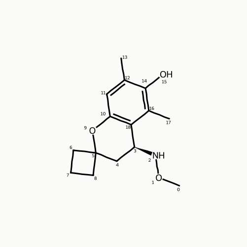 CON[C@H]1CC2(CCC2)Oc2cc(C)c(O)c(C)c21